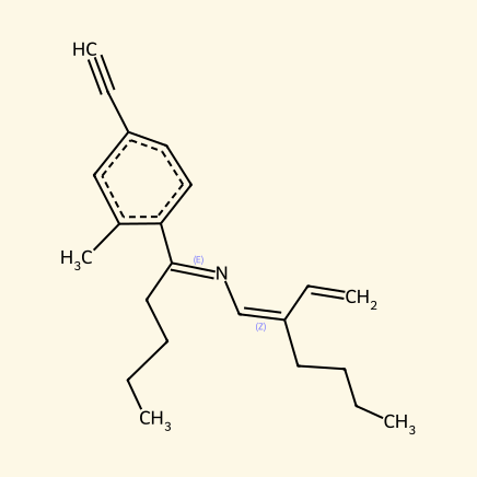 C#Cc1ccc(/C(CCCC)=N/C=C(\C=C)CCCC)c(C)c1